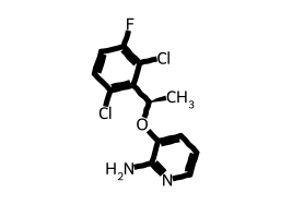 C[C@@H](Oc1cccnc1N)c1c(Cl)ccc(F)c1Cl